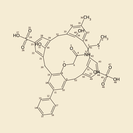 CSCNC(=O)COc1c2cc(-c3ccccc3)cc1Cc1cc(S(=O)(=O)O)cc(c1O)Cc1cc(C)cc(c1O)Cc1cc(S(=O)(=O)O)cc(c1O)C2